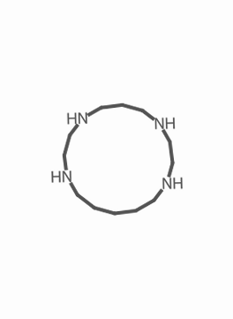 C1CCNCCNCCCNCCNCC1